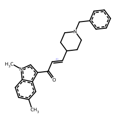 Cc1ccc2c(c1)c(C(=O)/C=C/C1CCN(Cc3ccccc3)CC1)cn2C